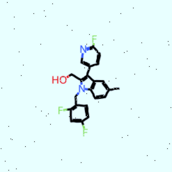 Cc1ccc2c(c1)c(-c1ccc(F)nc1)c(CO)n2Cc1ccc(F)cc1F